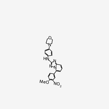 COc1ccc(-c2cccc3nc(Nc4ccc(N5CCOCC5)cc4)nn23)cc1[N+](=O)[O-]